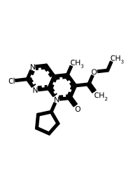 C=C(OCC)c1c(C)c2cnc(Cl)nc2n(C2CCCC2)c1=O